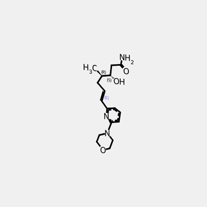 C[C@H](C/C=C/c1cccc(N2CCOCC2)n1)[C@@H](O)CC(N)=O